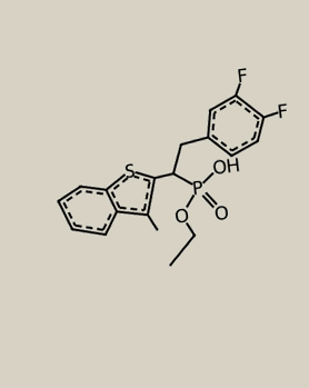 CCOP(=O)(O)C(Cc1ccc(F)c(F)c1)c1sc2ccccc2c1C